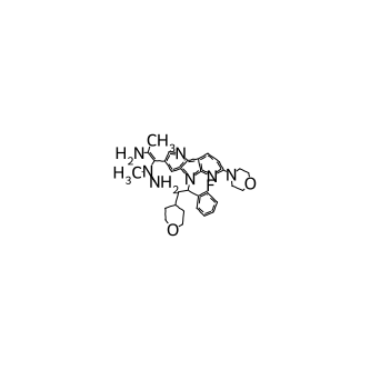 C/C(N)=C(\c1cnc2c3ccc(N4CCOCC4)nc3n(C(CC3CCOCC3)c3ccccc3F)c2c1)N(C)N